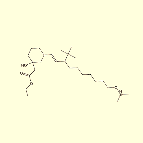 CCOC(=O)CC1(O)CCCC(C=CC(CCCCCCCO[SiH](C)C)C(C)(C)C)C1